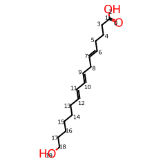 O=C(O)CCCC=CCC=CC=CCCCCCCO